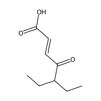 CCC(CC)C(=O)C=CC(=O)O